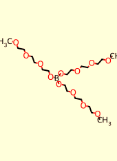 COCCOCCOCCOB(OCCOCCOCCOC)OCCOCCOCCOC